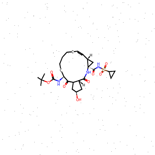 CC(C)(C)OC(=O)N[C@H]1CCCCC/C=C\[C@@H]2C[C@@]2(C(=O)NS(=O)(=O)C2CC2)NC(=O)[C@@H]2C[C@@H](O)CC2C1=O